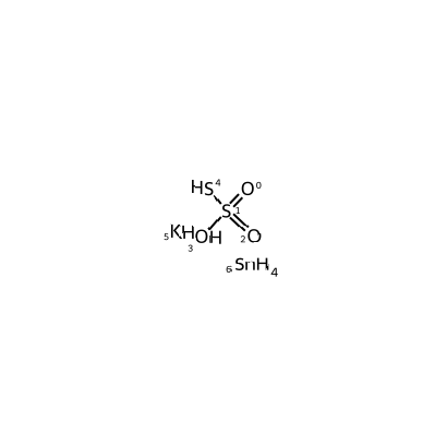 O=S(=O)(O)S.[KH].[SnH4]